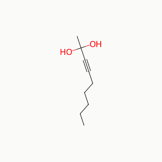 CCCCCC#CC(C)(O)O